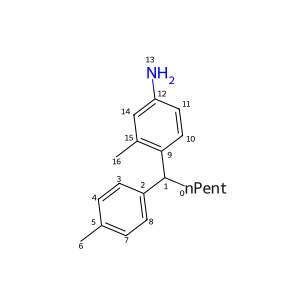 CCCCCC(c1ccc(C)cc1)c1ccc(N)cc1C